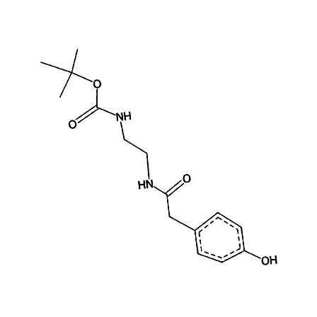 CC(C)(C)OC(=O)NCCNC(=O)Cc1ccc(O)cc1